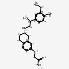 NC(=O)COc1ccc2c(c1)C[C@@H](NC[C@@H](O)c1ccc(O)c(CO)c1)CC2